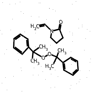 C=CN1CCCC1=O.CC(C)(OOC(C)(C)c1ccccc1)c1ccccc1